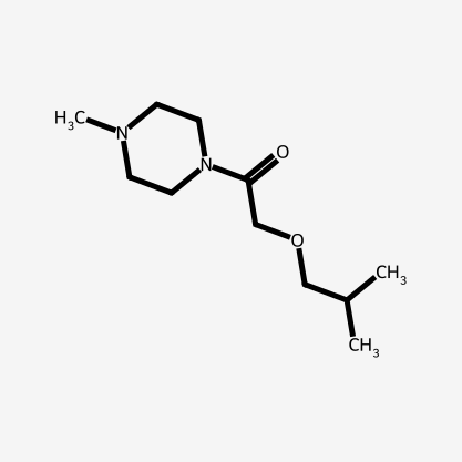 CC(C)COCC(=O)N1CCN(C)CC1